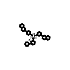 c1cc(-c2ccc3ccccc3c2)cc(-c2nc(-c3ccc(-c4ccc5ccccc5c4)cc3)nc(-c3cccc4c3sc3ccccc34)n2)c1